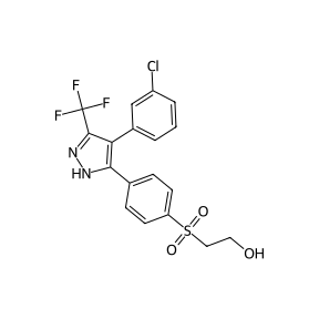 O=S(=O)(CCO)c1ccc(-c2[nH]nc(C(F)(F)F)c2-c2cccc(Cl)c2)cc1